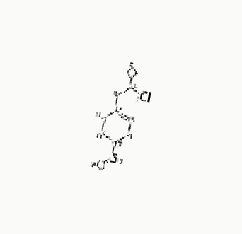 [O]C(Cl)CC1=CCC(=S=O)C=C1